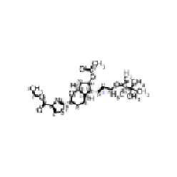 CCOC(=O)c1csc([C@H]2CC[C@@H]3[C@@H](/C=C/CO[Si](C)(C)C(C)(C)C)[C@H](OC(C)=O)C[C@@H]3O2)n1